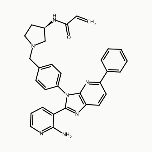 C=CC(=O)N[C@@H]1CCN(Cc2ccc(-n3c(-c4cccnc4N)nc4ccc(-c5ccccc5)nc43)cc2)C1